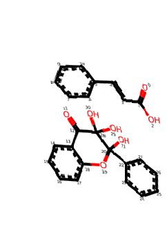 O=C(O)C=Cc1ccccc1.O=C1c2ccccc2OC(O)(c2ccccc2)C1(O)O